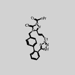 CC/C=C/c1nn(C(=O)CCC)c(=O)n1Cc1ccc(-c2ccccc2-c2nnn[nH]2)cc1